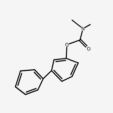 CN(C)C(=O)Oc1cccc(-c2ccccc2)c1